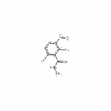 CNC(=O)c1c(F)ccc(N=O)c1F